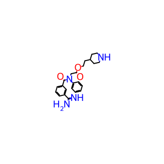 N=C(N)c1cccc(C(=O)N(CC(=O)OCCC2CCNCC2)c2ccccc2)c1